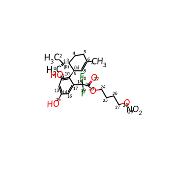 C=C(C)[C@@H]1CCC(C)=C[C@H]1c1c(O)cc(O)cc1C(F)(F)C(=O)OCCCCO[N+](=O)[O-]